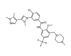 COc1c(CN2CCN(C)CC2)cc(C(F)(F)F)cc1NC(=O)c1ccc(Cl)c(-n2cc(-c3cnn(C)c3C)n2C)c1